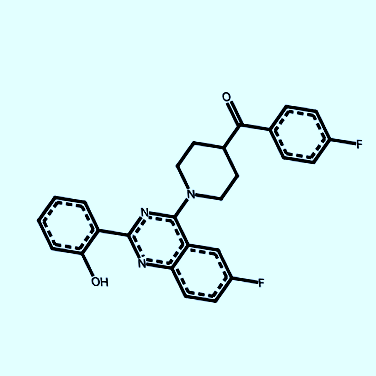 O=C(c1ccc(F)cc1)C1CCN(c2nc(-c3ccccc3O)nc3ccc(F)cc23)CC1